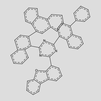 c1ccc(-c2ccc(-c3nc(-c4c(-c5cc6ccccc6c6ccccc56)ccc5ccccc45)nc(-c4cccc5c4oc4ccccc45)n3)c3ccccc23)cc1